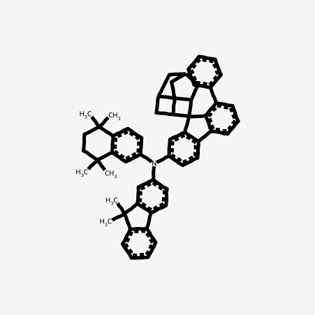 CC1(C)CCC(C)(C)c2cc(N(c3ccc4c(c3)C(C)(C)c3ccccc3-4)c3ccc4c(c3)C3(c5c(-c6ccccc6)cccc5-4)C4CC5CC6CC3C64C5)ccc21